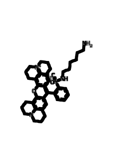 C=S(=O)(NCCCCCCN)c1ccccc1C1=c2cc3c4c(c2Oc2c1cc1c5c2CCCN5CCC1)CCC[N+]=4CCC3